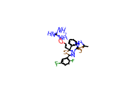 Cc1nnc(N2N=C(c3cc(F)ccc3F)SC2(CCONC(=N)N)c2ccccc2)s1